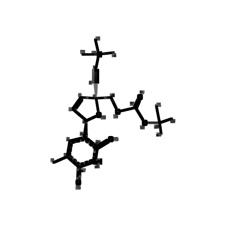 Cc1cn([C@H]2C=C[C@@](C#C[Si](C)(C)C)(COC(=O)OC(C)(C)C)O2)c(=O)[nH]c1=O